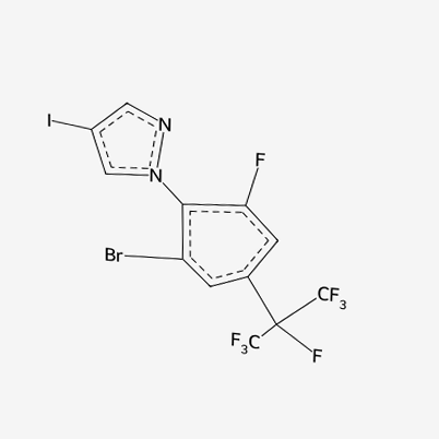 Fc1cc(C(F)(C(F)(F)F)C(F)(F)F)cc(Br)c1-n1cc(I)cn1